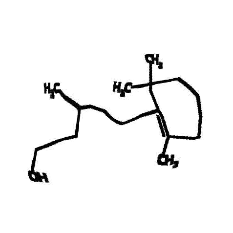 CC1=C(CCC(C)CCO)C(C)(C)CCC1